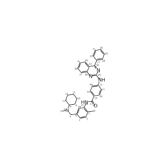 Cc1ccc(CN(C)C2CCCCC2)cc1NC(=O)c1ccc(Nc2nc(-c3ccccc3)c3ccccc3n2)cc1